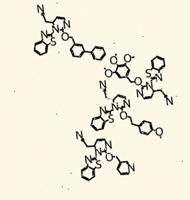 COc1cc(COC2=NC=CC(CC#N)N2c2nc3ccccc3s2)cc(OC)c1OC.COc1ccc(CCOC2=NC=C[C@@H](CC#N)N2c2nc3ccccc3s2)cc1.N#CCC1C=CN=C(OCc2cccc(-c3ccccc3)c2)N1c1nc2ccccc2s1.N#CCC1C=CN=C(OCc2cccnc2)N1c1nc2ccccc2s1